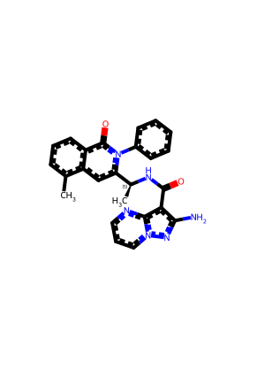 Cc1cccc2c(=O)n(-c3ccccc3)c([C@H](C)NC(=O)c3c(N)nn4cccnc34)cc12